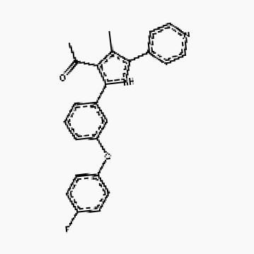 CC(=O)c1c(-c2cccc(Oc3ccc(F)cc3)c2)[nH]c(-c2ccncc2)c1C